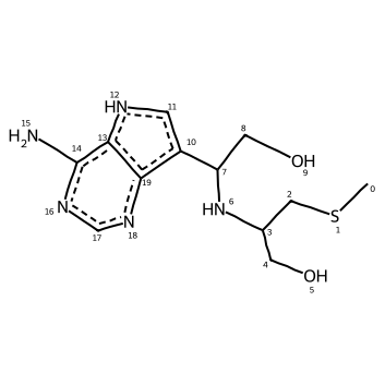 CSCC(CO)NC(CO)c1c[nH]c2c(N)ncnc12